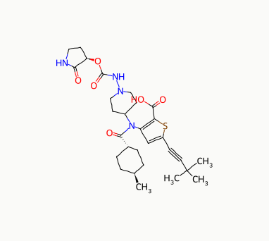 CC(C)(C)C#Cc1cc(N(C(=O)[C@H]2CC[C@H](C)CC2)C2CCN(NC(=O)O[C@@H]3CCNC3=O)CC2)c(C(=O)O)s1